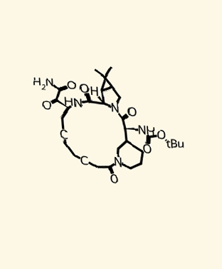 CC(C)(C)OC(=O)N[C@@H]1C(=O)N2CC3C([C@H]2C(=O)N[C@H](C(=O)C(N)=O)CCCCCCC(=O)N2CCCC1C2)C3(C)C